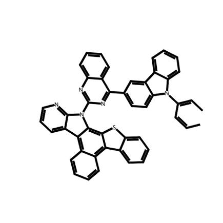 C/C=C\C(=C/C)n1c2ccccc2c2cc(-c3nc(-n4c5ncccc5c5c6ccccc6c6c7ccccc7sc6c54)nc4ccccc34)ccc21